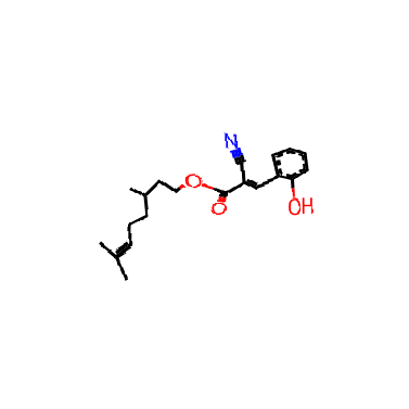 CC(C)=CCCC(C)CCOC(=O)/C(C#N)=C/c1ccccc1O